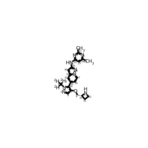 [2H]C([2H])([2H])n1ncc(OC[C@H]2CCN2)c1-c1ccn2nc(Nc3cc(C)nc(C)n3)cc2c1